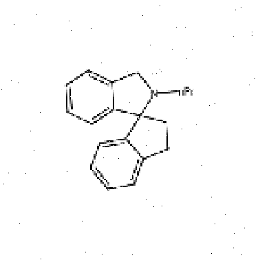 CCCN1Cc2ccccc2C12CCc1ccccc12